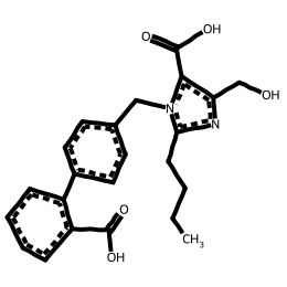 CCCCc1nc(CO)c(C(=O)O)n1Cc1ccc(-c2ccccc2C(=O)O)cc1